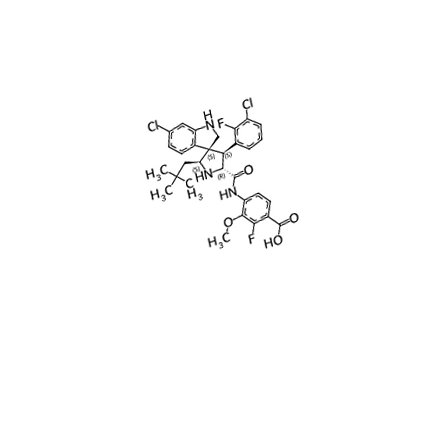 COc1c(NC(=O)[C@@H]2N[C@@H](CC(C)(C)C)[C@@]3(CNc4cc(Cl)ccc43)[C@H]2c2cccc(Cl)c2F)ccc(C(=O)O)c1F